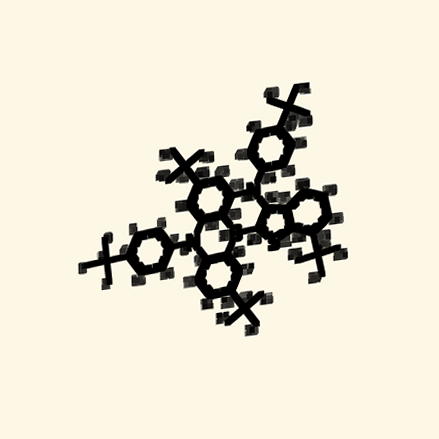 CC(C)(C)c1ccc(N2c3ccc(C(C)(C)C)cc3B3c4sc5c(C(C)(C)C)cccc5c4N(c4ccc(C(C)(C)C)cc4)c4cc(C(C)(C)C)cc2c43)cc1